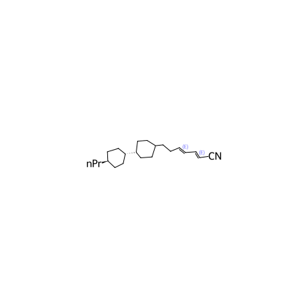 CCC[C@H]1CC[C@H](C2CCC(CC/C=C/C=C/C#N)CC2)CC1